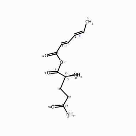 C/C=C/C=C/C(=O)OC(=O)[C@@H](N)CCC(N)=O